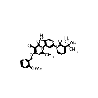 COc1cccnc1COc1cc(C)n(-c2cc(-n3cccc(C(C)(C)O)c3=O)ncc2C)c(=O)c1Cl